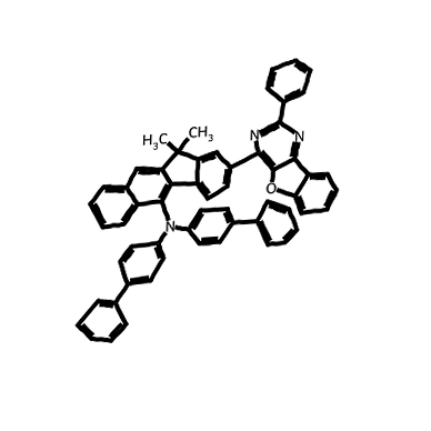 CC1(C)c2cc(-c3nc(-c4ccccc4)nc4c3oc3ccccc34)ccc2-c2c1cc1ccccc1c2N(c1ccc(-c2ccccc2)cc1)c1ccc(-c2ccccc2)cc1